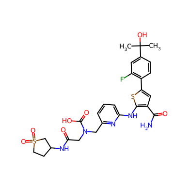 CC(C)(O)c1ccc(-c2cc(C(N)=O)c(Nc3cccc(CN(CC(=O)NC4CCS(=O)(=O)C4)C(=O)O)n3)s2)c(F)c1